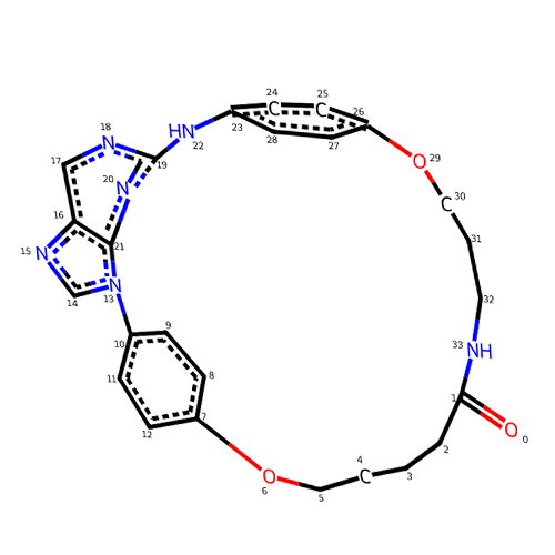 O=C1CCCCOc2ccc(cc2)-n2cnc3cnc(nc32)Nc2ccc(cc2)OCCCN1